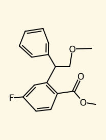 COCC(c1ccccc1)c1cc(F)ccc1C(=O)OC